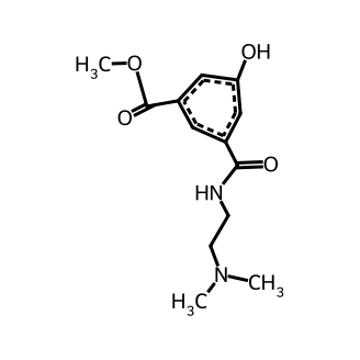 COC(=O)c1cc(O)cc(C(=O)NCCN(C)C)c1